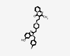 Cc1nc2ccccn2c(=O)c1CCN1CCC(Cc2nc3ccc(O)cc3n2Cc2ccc(F)cc2)CC1